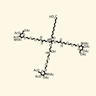 CC(=O)NC1C(OCCOCCOCCNC(=O)CCOCC(COCCC(=O)NCCOCCOCCOC2OC(COC(C)=O)C(OC(C)=O)C(OC(C)=O)C2NC(C)=O)(COCCC(O)NCCOCCOCCOC2OC(COC(C)=O)C(OC(C)=O)C(OC(C)=O)C2NC(C)=O)NC(=O)CCCCCCCCCCC(=O)O)OC(COC(C)=O)C(OC(C)=O)C1OC(C)=O